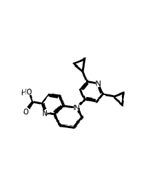 O=C(O)c1ccc2c(n1)CCCN2c1cc(C2CC2)nc(C2CC2)c1